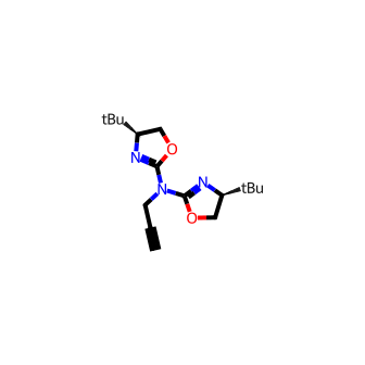 C#CCN(C1=N[C@@H](C(C)(C)C)CO1)C1=N[C@@H](C(C)(C)C)CO1